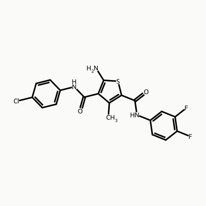 Cc1c(C(=O)Nc2ccc(F)c(F)c2)sc(N)c1C(=O)Nc1ccc(Cl)cc1